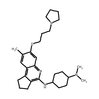 Cc1cc2c3c(c(NC4CCC(N(C)C)CC4)nc2cc1OCCCN1CCCC1)CCC3